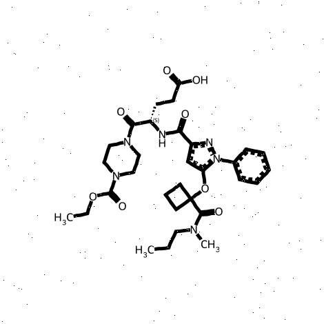 CCCN(C)C(=O)C1(Oc2cc(C(=O)N[C@@H](CCC(=O)O)C(=O)N3CCN(C(=O)OCC)CC3)nn2-c2ccccc2)CCC1